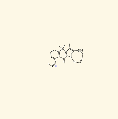 C=C1C2=C(CCC=C2/C=C\C)C(C)(C)C2=C1C1CC=CCNC(=C2C)C1